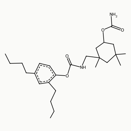 CCCCc1ccc(OC(=O)NCC2(C)CC(OC(N)=O)CC(C)(C)C2)c(CCCC)c1